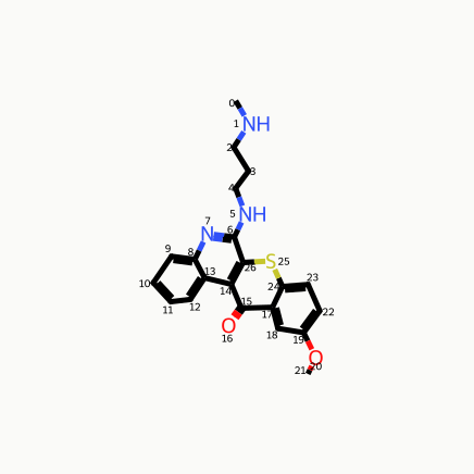 CNCCCNc1nc2ccccc2c2c(=O)c3cc(OC)ccc3sc12